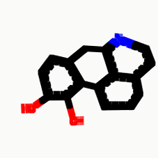 Oc1ccc2c(c1O)-c1cccc3ccnc(c13)C2